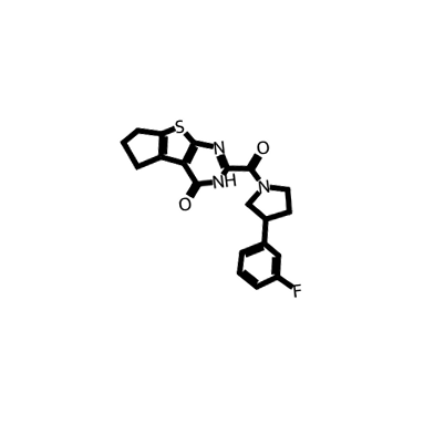 O=C(c1nc2sc3c(c2c(=O)[nH]1)CCC3)N1CCC(c2cccc(F)c2)C1